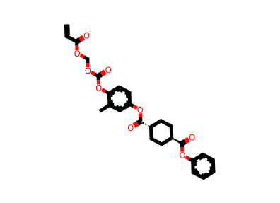 C=CC(=O)OCOC(=O)Oc1ccc(OC(=O)[C@H]2CC[C@H](C(=O)Oc3ccccc3)CC2)cc1C